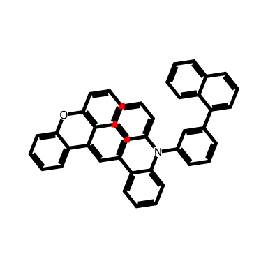 c1ccc(N(c2cccc(-c3cccc4ccccc34)c2)c2ccccc2-c2cc3c4c(cccc4c2)Oc2ccccc2-3)cc1